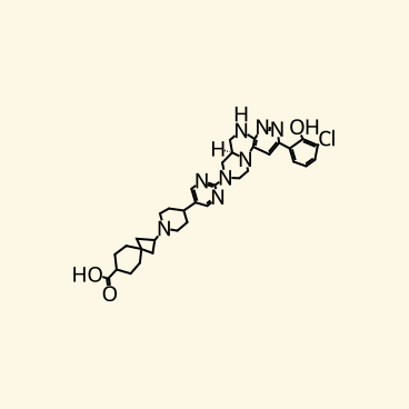 O=C(O)C1CCC2(CC1)CC(N1CCC(c3cnc(N4CCN5c6cc(-c7cccc(Cl)c7O)nnc6NC[C@@H]5C4)nc3)CC1)C2